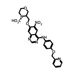 O=C(O)N1CCOCC1COc1cc2ncnc(Nc3ccc(OCc4ccccn4)cc3)c2cc1[N+](=O)[O-]